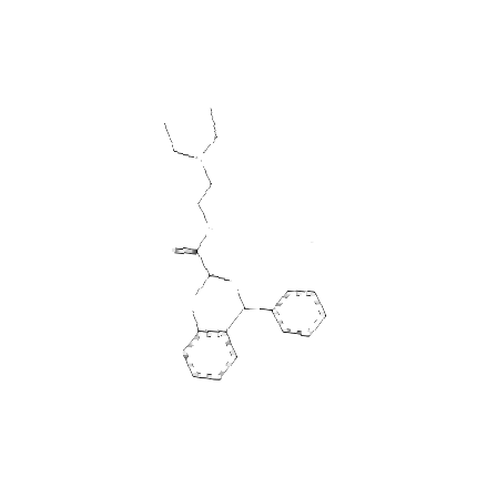 CCN(CC)CCNC(=O)C1Oc2ccccc2C(c2ccccc2)O1.Cl